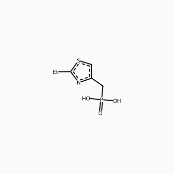 CCc1nc(CP(=O)(O)O)cs1